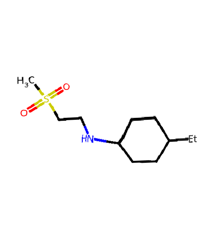 CCC1CCC(NCCS(C)(=O)=O)CC1